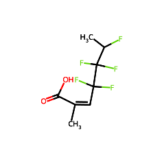 CC(=CC(F)(F)C(F)(F)C(C)F)C(=O)O